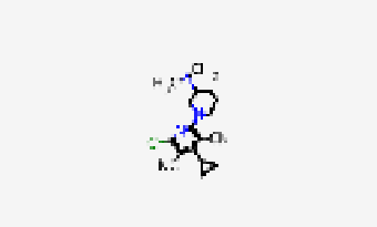 CN(C)C1CCCN(c2nc(Cl)c(C#N)c(C3CC3)c2C#N)C1